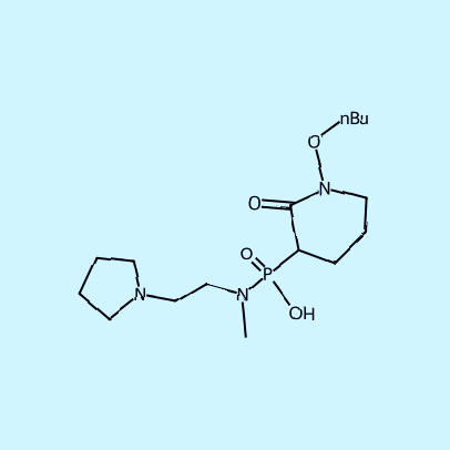 CCCCON1CCCC(P(=O)(O)N(C)CCN2CCCC2)C1=O